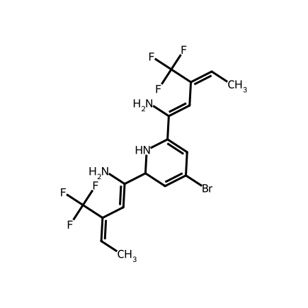 C/C=C(\C=C(/N)C1=CC(Br)=CC(/C(N)=C/C(=C\C)C(F)(F)F)N1)C(F)(F)F